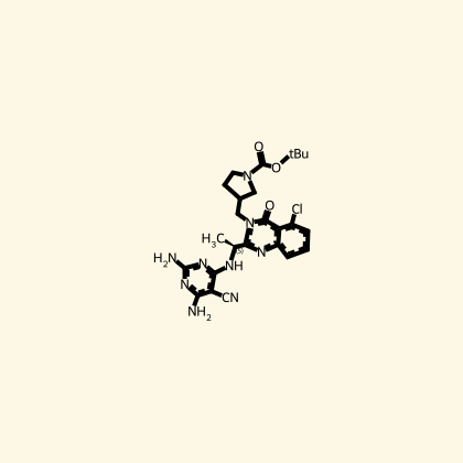 C[C@H](Nc1nc(N)nc(N)c1C#N)c1nc2cccc(Cl)c2c(=O)n1CC1CCN(C(=O)OC(C)(C)C)C1